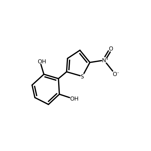 O=[N+]([O-])c1ccc(-c2c(O)cccc2O)s1